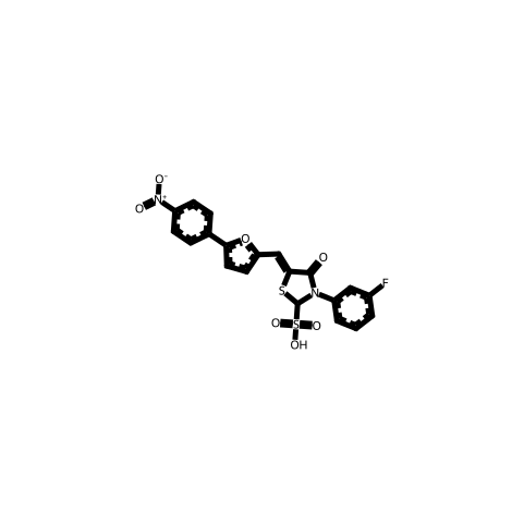 O=C1C(=Cc2ccc(-c3ccc([N+](=O)[O-])cc3)o2)SC(S(=O)(=O)O)N1c1cccc(F)c1